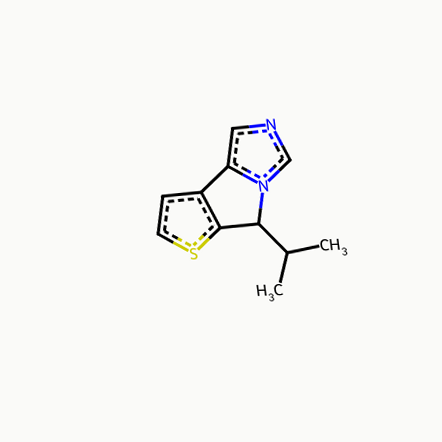 CC(C)C1c2sccc2-c2cncn21